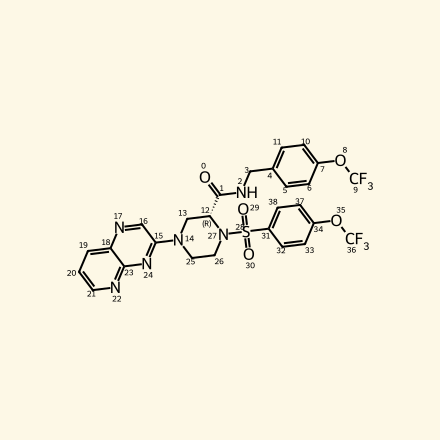 O=C(NCc1ccc(OC(F)(F)F)cc1)[C@H]1CN(c2cnc3cccnc3n2)CCN1S(=O)(=O)c1ccc(OC(F)(F)F)cc1